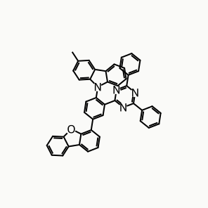 Cc1ccc2c(c1)c1ccccc1n2-c1ccc(-c2cccc3c2oc2ccccc23)cc1-c1nc(-c2ccccc2)nc(-c2ccccc2)n1